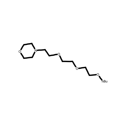 CCCCOCCOCCOCCN1CCOCC1